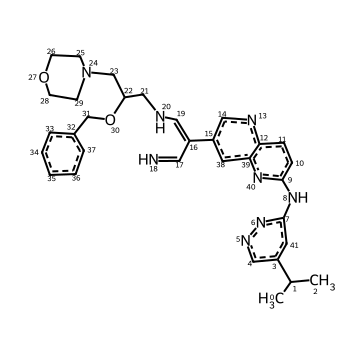 CC(C)c1cnnc(Nc2ccc3ncc(/C(C=N)=C/NCC(CN4CCOCC4)OCc4ccccc4)cc3n2)c1